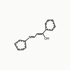 OC(=CC=Nc1ccccc1)c1ccccc1